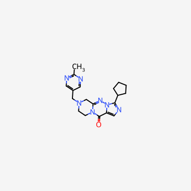 Cc1ncc(CN2CCn3c(nn4c(C5CCCC5)ncc4c3=O)C2)cn1